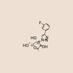 C[C@@H]1O[C@H](CO)[C@H](O)[C@H](n2cc(-c3cccc(F)c3)nn2)[C@H]1O